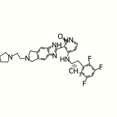 C[C@@H](Cc1cc(F)cc(F)c1F)Nc1cc[nH]c(=O)c1-c1nc2cc3c(cc2[nH]1)CN(CCN1CCCC1)C3